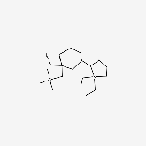 CS(C)(I)CC1(CI)CCCC(C2CCCS2(CI)CI)C1